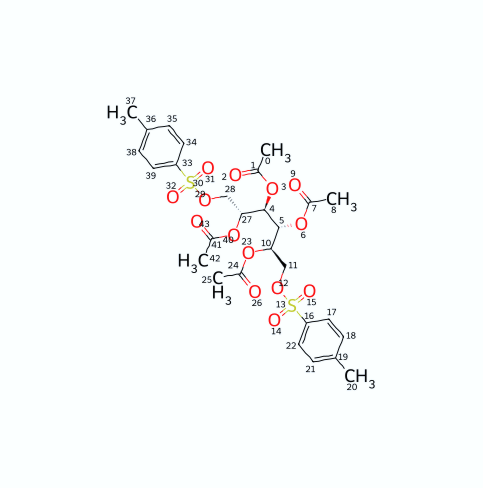 CC(=O)O[C@@H]([C@H](OC(C)=O)[C@@H](COS(=O)(=O)c1ccc(C)cc1)OC(C)=O)[C@@H](COS(=O)(=O)c1ccc(C)cc1)OC(C)=O